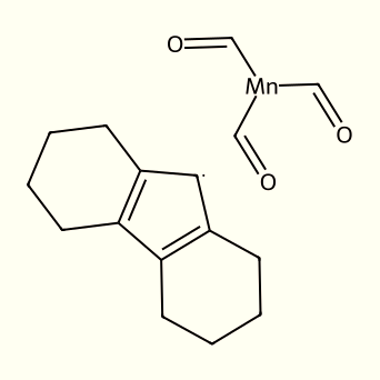 O=[CH][Mn]([CH]=O)[CH]=O.[CH]1C2=C(CCCC2)C2=C1CCCC2